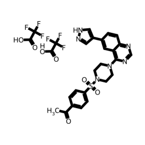 CC(=O)c1ccc(S(=O)(=O)N2CCN(c3ncnc4ccc(-c5cn[nH]c5)cc34)CC2)cc1.O=C(O)C(F)(F)F.O=C(O)C(F)(F)F